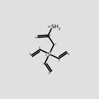 C=C[Si](C=C)(C=C)CC(=C)[SiH3]